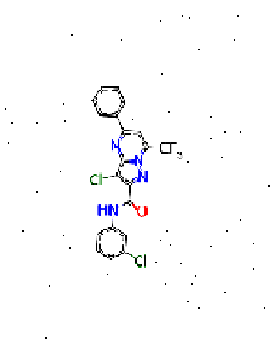 O=C(Nc1cccc(Cl)c1)c1nn2c(C(F)(F)F)cc(-c3ccccc3)nc2c1Cl